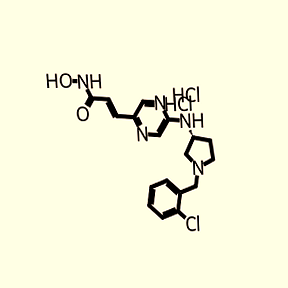 Cl.Cl.O=C(C=Cc1cnc(N[C@@H]2CCN(Cc3ccccc3Cl)C2)cn1)NO